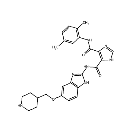 Cc1ccc(C)c(NC(=O)c2nc[nH]c2C(=O)Nc2nc3cc(OCC4CCNCC4)ccc3[nH]2)c1